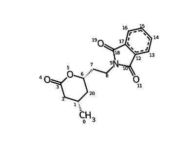 C[C@@H]1CC(=O)O[C@H](CCN2C(=O)c3ccccc3C2=O)C1